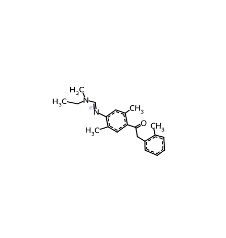 CCN(C)/C=N/c1cc(C)c(C(=O)Cc2ccccc2C)cc1C